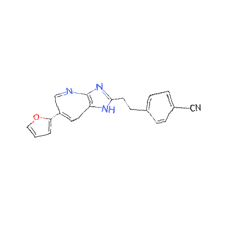 N#Cc1ccc(CCc2nc3ncc(-c4ccco4)cc3[nH]2)cc1